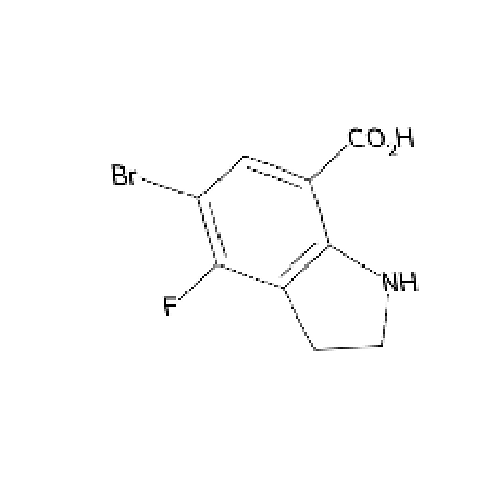 O=C(O)c1cc(Br)c(F)c2c1NCC2